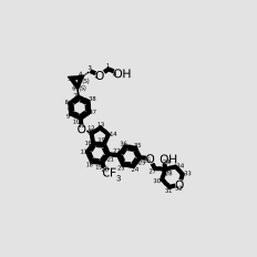 OCOC[C@H]1C[C@@H]1c1ccc(O[C@@H]2CCc3c2ccc(C(F)(F)F)c3-c2ccc(OCC3(O)CCOCC3)cc2)cc1